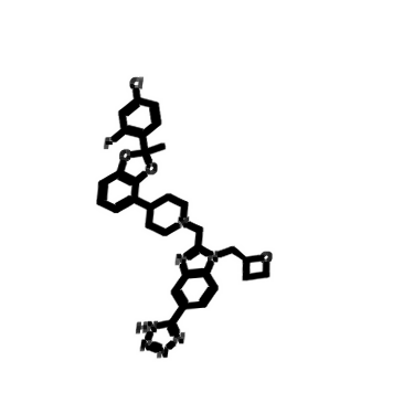 CC1(c2ccc(Cl)cc2F)Oc2cccc(C3CCN(Cc4nc5cc(-c6nnn[nH]6)ccc5n4C[C@@H]4CCO4)CC3)c2O1